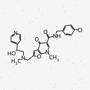 CN(Cc1cc2c(=O)c(C(=O)NCc3ccc(Cl)cc3)cn(C)c2o1)CC(O)c1ccncc1